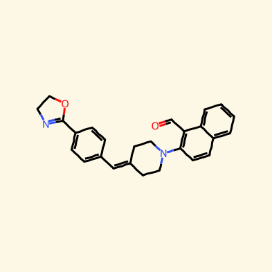 O=Cc1c(N2CCC(=Cc3ccc(C4=NCCO4)cc3)CC2)ccc2ccccc12